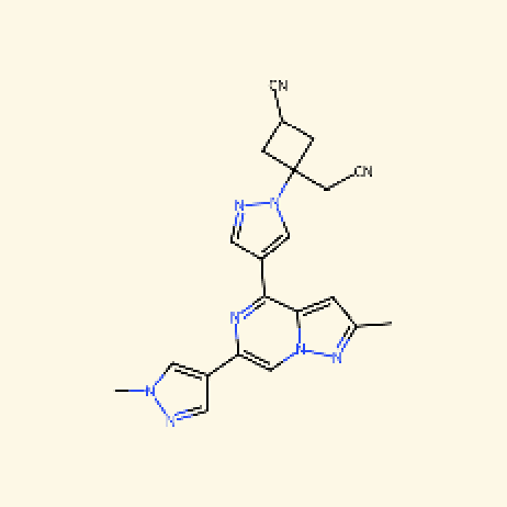 Cc1cc2c(-c3cnn(C4(CC#N)CC(C#N)C4)c3)nc(-c3cnn(C)c3)cn2n1